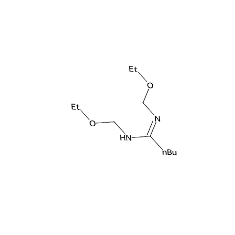 CCCCC(=NCOCC)NCOCC